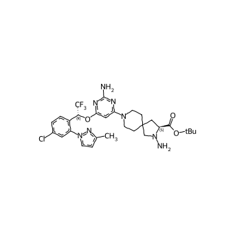 Cc1ccn(-c2cc(Cl)ccc2[C@@H](Oc2cc(N3CCC4(CC3)C[C@@H](C(=O)OC(C)(C)C)N(N)C4)nc(N)n2)C(F)(F)F)n1